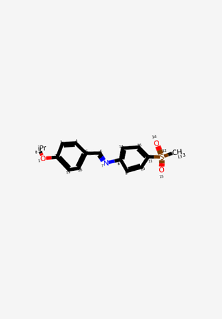 CC(C)Oc1ccc(C=Nc2ccc(S(C)(=O)=O)cc2)cc1